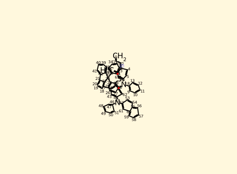 C=C/C=c1/ccc(N(c2ccccc2)c2cc(-c3cccc4c3C3(c5ccccc5Sc5ccccc53)c3ccccc3-4)cc(N(c3ccccc3)c3ccc4ccccc4c3)c2)cc1=C